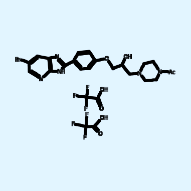 CC(=O)N1CCN(CC(O)COc2ccc(-c3nc4cc(Br)cnc4[nH]3)cc2)CC1.O=C(O)C(F)(F)F.O=C(O)C(F)(F)F